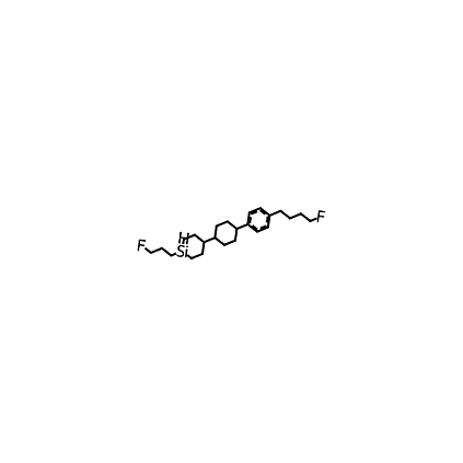 FCCCCc1ccc(C2CCC(C3CC[SiH](CCCF)CC3)CC2)cc1